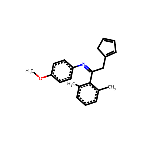 COc1ccc(/N=C(/CC2=CC=CC2)c2c(C)cccc2C)cc1